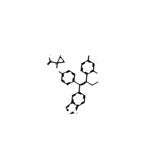 CC/C(=C(/c1ccc(OC2(C(=O)O)CC2)cc1)c1ccc2[nH]ncc2c1)c1ccc(F)cc1Cl